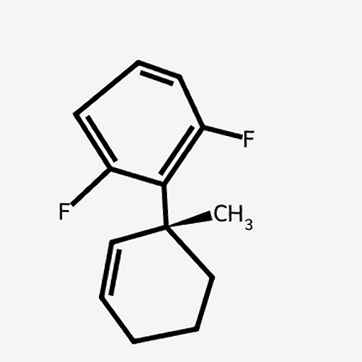 C[C@]1(c2c(F)cccc2F)C=CCCC1